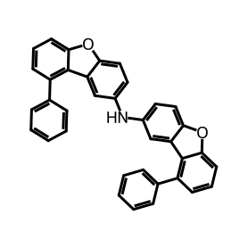 c1ccc(-c2cccc3oc4ccc(Nc5ccc6oc7cccc(-c8ccccc8)c7c6c5)cc4c23)cc1